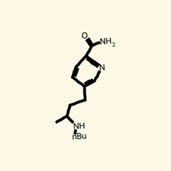 CCCCNC(C)CCc1ccc(C(N)=O)nc1